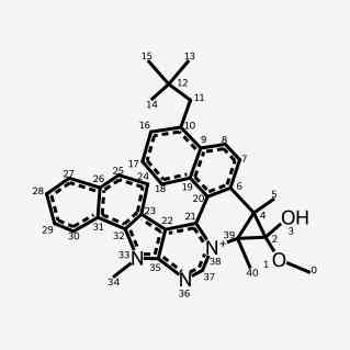 COC1(O)C2(C)c3ccc4c(CC(C)(C)C)cccc4c3-c3c4c5ccc6ccccc6c5n(C)c4nc[n+]3C12C